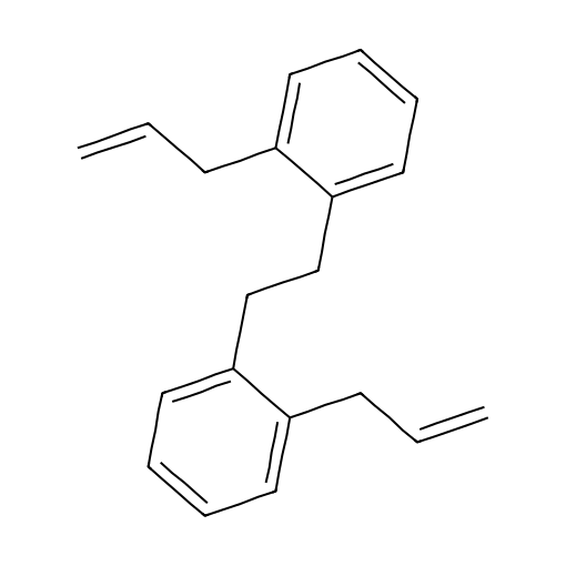 C=CCc1ccccc1CCc1ccccc1CC=C